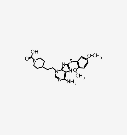 COc1ccc(OC)c(Sc2nc3c(N)ncn(CCC4CCN(C(=O)O)CC4)c-3n2)c1